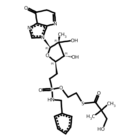 CC(C)(CO)C(=O)SCCOP(=O)(CC[C@H]1O[C@@H](n2cnc3c2N=CCC3=O)[C@](C)(O)[C@@H]1O)NCc1ccccc1